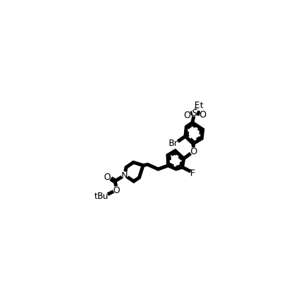 CCS(=O)(=O)c1ccc(Oc2ccc(CCC3CCN(C(=O)OC(C)(C)C)CC3)cc2F)c(Br)c1